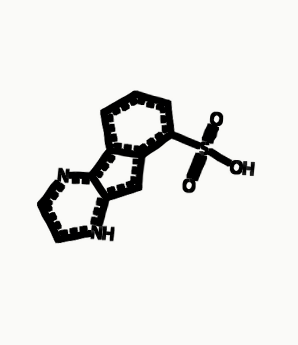 O=S(=O)(O)c1cccc2c3ncc[nH]c-3cc12